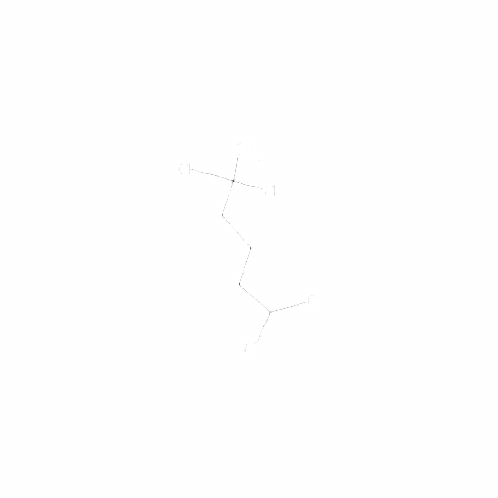 CC(Cl)(Cl)CCCC(Cl)Cl